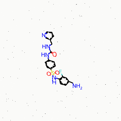 NCc1ccc(NS(=O)(=O)c2ccc(NC(=O)NCc3cccnc3)cc2)c(F)c1